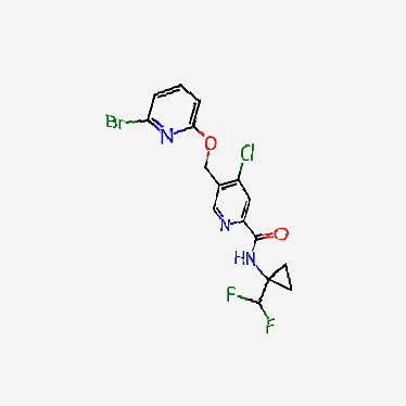 O=C(NC1(C(F)F)CC1)c1cc(Cl)c(COc2cccc(Br)n2)cn1